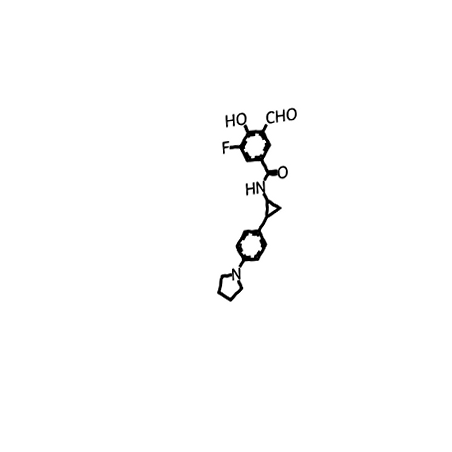 O=Cc1cc(C(=O)NC2CC2c2ccc(N3CCCC3)cc2)cc(F)c1O